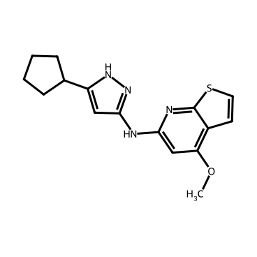 COc1cc(Nc2cc(C3CCCC3)[nH]n2)nc2sccc12